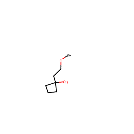 CC(C)OCCC1(O)CCC1